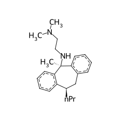 CCC[C@@H]1Cc2ccccc2[C@](C)(NCCN(C)C)c2ccccc21